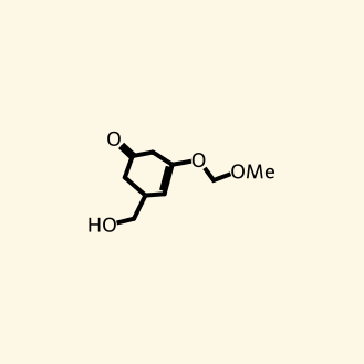 COCOC1=CC(CO)CC(=O)C1